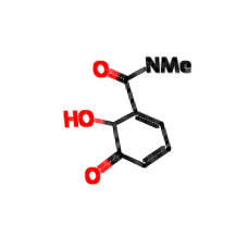 CNC(=O)C1=CC=CC(=O)C1O